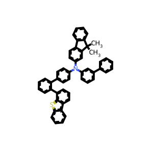 CC1(C)c2ccccc2-c2ccc(N(c3ccc(-c4ccccc4-c4cccc5c4sc4ccccc45)cc3)c3cccc(-c4ccccc4)c3)cc21